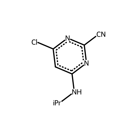 CC(C)Nc1cc(Cl)nc(C#N)n1